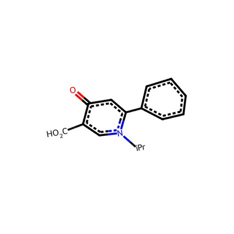 CC(C)n1cc(C(=O)O)c(=O)cc1-c1ccccc1